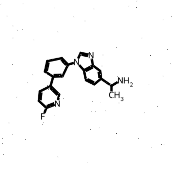 CC(N)c1ccc2c(c1)ncn2-c1cccc(-c2ccc(F)nc2)c1